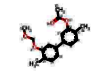 COCOc1cc(-c2ccc(C)c(OC(C)=O)c2)ccc1C